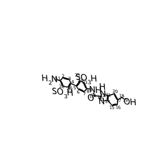 Nc1ccc(-c2ccc(NC(=O)c3nc4ccc(CO)cc4[nH]3)cc2S(=O)(=O)O)c(S(=O)(=O)O)c1